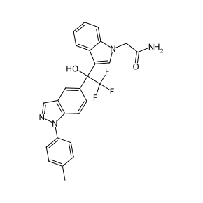 Cc1ccc(-n2ncc3cc(C(O)(c4cn(CC(N)=O)c5ccccc45)C(F)(F)F)ccc32)cc1